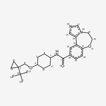 O=C(NC1CCC(OCC2(C(F)(F)F)CC2)CC1)c1ccc2c(c1)-c1cncn1CCO2